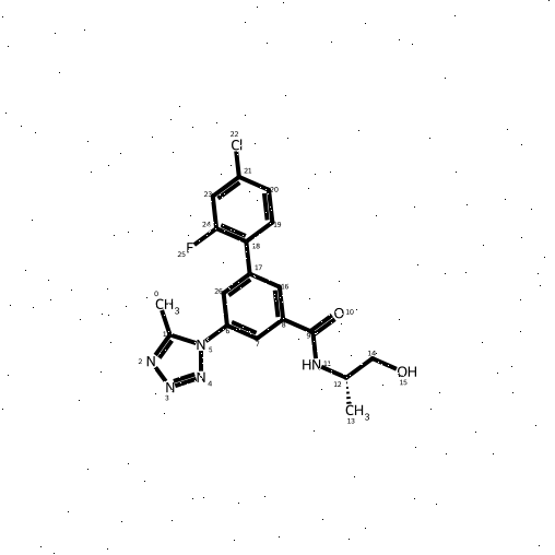 Cc1nnnn1-c1cc(C(=O)N[C@@H](C)CO)cc(-c2ccc(Cl)cc2F)c1